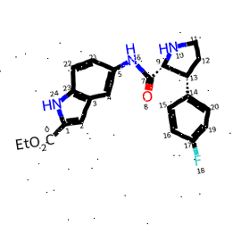 CCOC(=O)c1cc2cc(NC(=O)[C@@H]3NCC[C@@H]3c3ccc(F)cc3)ccc2[nH]1